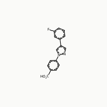 O=C(O)c1ccc(-n2cc(-c3cccc(F)c3)cn2)cc1